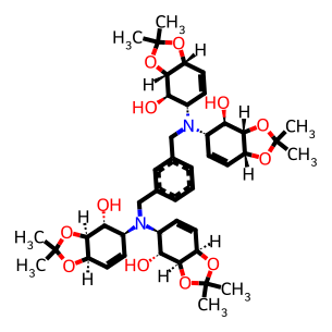 CC1(C)O[C@H]2[C@H](O)[C@@H](N(Cc3cccc(CN([C@H]4C=C[C@H]5OC(C)(C)O[C@H]5[C@@H]4O)[C@H]4C=C[C@H]5OC(C)(C)O[C@H]5[C@@H]4O)c3)[C@H]3C=C[C@H]4OC(C)(C)O[C@H]4[C@@H]3O)C=C[C@H]2O1